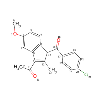 COc1ccc2c(c1)C(C(C)=O)=C(C)C2C(=O)c1ccc(Cl)cc1